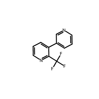 FC(F)(F)c1ncccc1-c1cccnc1